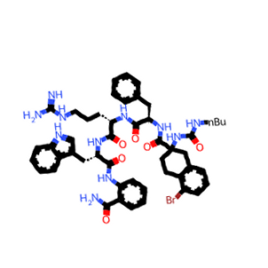 CCCCNC(=O)NC1(C(=O)N[C@H](Cc2ccccc2)C(=O)N[C@@H](CCCNC(=N)N)C(=O)N[C@@H](Cc2c[nH]c3ccccc23)C(=O)Nc2ccccc2C(N)=O)CCc2c(Br)cccc2C1